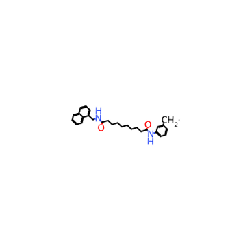 [CH2]c1cccc(NC(=O)CCCCCCCCC(=O)NCc2cccc3ccccc23)c1